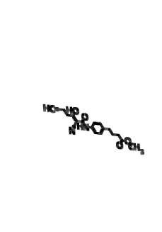 C#CCC/C(O)=C(\C#N)C(=O)Nc1ccc(CCCC(=O)OC)cc1